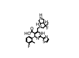 Cc1c(F)cccc1[C@@H]1N=C(c2nccs2)NC(CN2CC(F)(F)[C@@H]3CNC[C@@H]32)=C1C(=O)O